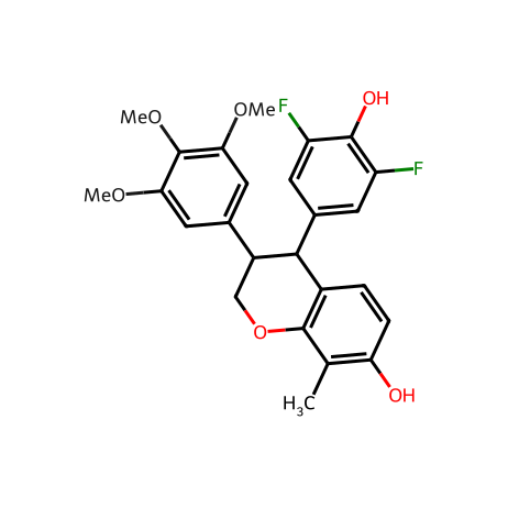 COc1cc(C2COc3c(ccc(O)c3C)C2c2cc(F)c(O)c(F)c2)cc(OC)c1OC